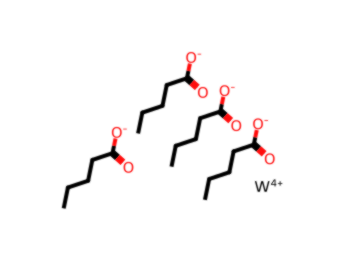 CCCCC(=O)[O-].CCCCC(=O)[O-].CCCCC(=O)[O-].CCCCC(=O)[O-].[W+4]